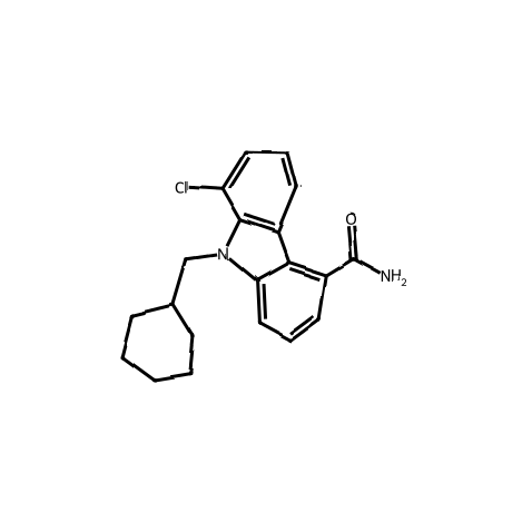 NC(=O)c1cccc2c1c1[c]ccc(Cl)c1n2CC1CCCCC1